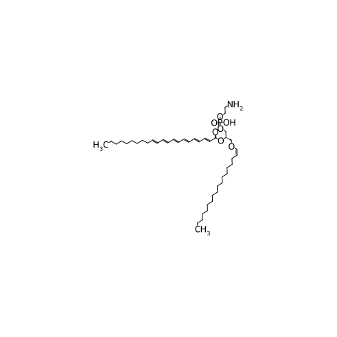 CCCCCCCCCC=CC=CC=CC=CC=CC=CC(=O)O[C@H](CO/C=C\CCCCCCCCCCCCCCCC)COP(=O)(O)OCCN